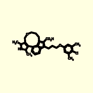 Cc1cc(OCCCc2c(C(=O)O)n3c4c(cccc24)C2=C(COCCC3)N(C)NC2C)cc(C)c1Cl